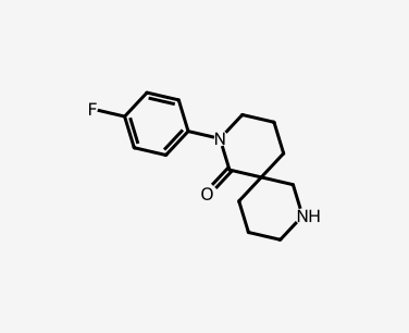 O=C1N(c2ccc(F)cc2)CCCC12CCCNC2